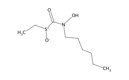 CCCCCCN(O)C(=O)[S+]([O-])CC